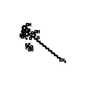 CCCCCCCCCCCCCCCCCC(=O)C[C@@H](CC(=O)O)C(=O)OC1=CC[C@@]2(O)[C@H]3Cc4ccc(O)c5c4[C@@]2(CCN3C)[C@H]1O5.O=C(O)C(F)(F)F